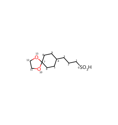 O=S(=O)(O)CCCC1CCC2(CC1)OCCO2